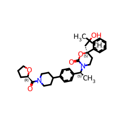 C[C@@H](c1ccc(C2CCN(C(=O)[C@H]3CCCO3)CC2)cc1)N1CC[C@](CC(C)(C)O)(c2ccccc2)OC1=O